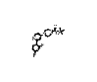 CC(C)(C)OC(=O)N1CCN(c2ccnc(-c3ccc(F)cc3F)c2)CC1